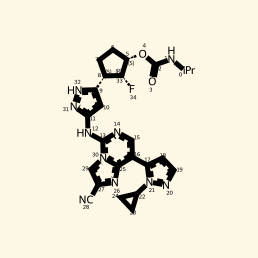 CC(C)NC(=O)O[C@H]1CC[C@@H](c2cc(Nc3ncc(-c4ccnn4C4CC4)c4nc(C#N)cn34)n[nH]2)[C@H]1F